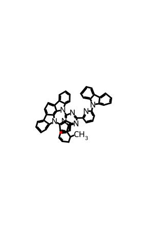 CC1CC=CC=C1c1nc(-c2cccc(-n3c4ccccc4c4ccccc43)n2)nc(-n2c3ccccc3c3ccc4c5ccccc5n(-c5ccccc5)c4c32)n1